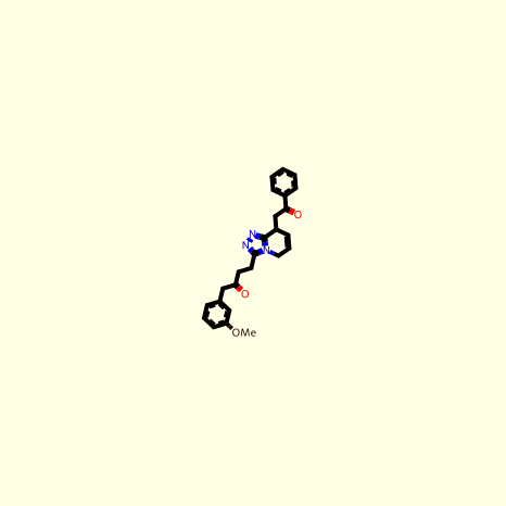 COc1cccc(CC(=O)CCc2nnc3n2CC=CC3CC(=O)c2ccccc2)c1